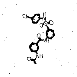 CC(=O)Nc1cccc(C(=O)Nc2cccc(S(=O)(=O)Nc3ccc(Cl)cc3)c2)c1